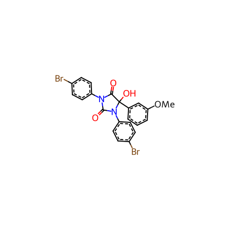 COc1cccc(C2(O)C(=O)N(c3ccc(Br)cc3)C(=O)N2c2ccc(Br)cc2)c1